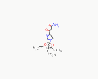 CC=CO[C@@H]1[C@H](CC(=O)O)[C@H](COC(C)=O)O[C@H]1N1C=CC(C(=O)CC(N)=O)=NC1